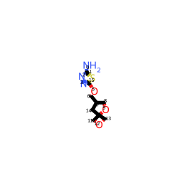 Nc1nnc(OCC2COC3(COC3)C2)s1